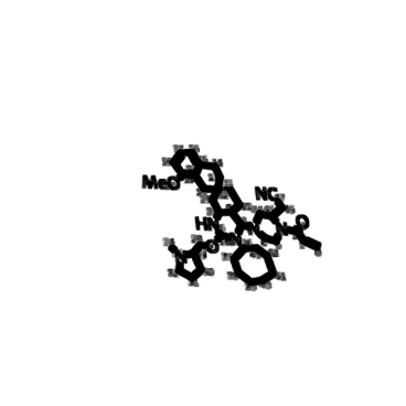 C=CC(=O)N1CCN(C2C3CC[C@]4(CCc5cccc(OC)c5C4)CC3NC(OCC3CCCN3C)N2C2CCCCCCC2)CC1CC#N